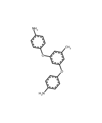 Cc1cc(Oc2ccc(N)cc2)cc(Oc2ccc(N)cc2)c1